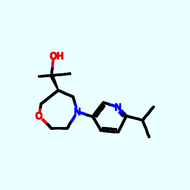 CC(C)c1ccc(N2CCOC[C@@H](C(C)(C)O)C2)cn1